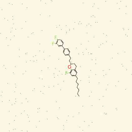 CCCCCCCc1cc(F)c2c(c1)CCC(CCc1ccc(-c3ccc(F)c(F)c3)cc1)O2